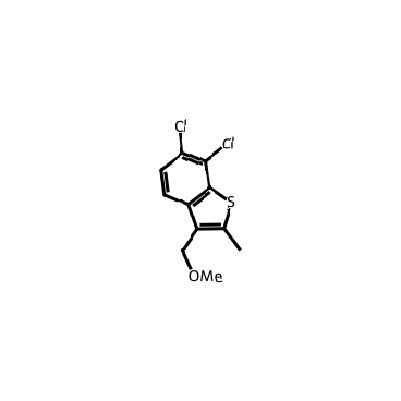 COCc1c(C)sc2c(Cl)c(Cl)ccc12